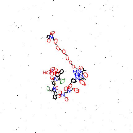 COCCN(CCN(CCOC)C(=O)Oc1cc2c(c3ccccc13)[C@H](CCl)CN2C(=O)c1ccc(C(=O)N2C[C@@H](CCl)c3c2cc(OP(=O)(O)O)c2ccccc32)s1)C(=O)OCc1ccc(NC(=O)[C@H](C)NC(=O)C(NC(=O)CCOCCOCCOCCOCCOCCOCCN2C(=O)C=CC2=O)C(C)C)cc1